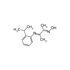 CC(=N\O)/C(C)=N/c1ccccc1C(C)C